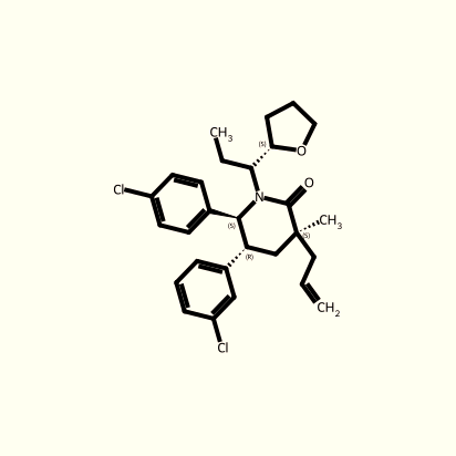 C=CC[C@@]1(C)C[C@H](c2cccc(Cl)c2)[C@@H](c2ccc(Cl)cc2)N(C(CC)[C@@H]2CCCO2)C1=O